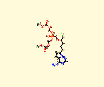 CC(C)OC(=O)OCOP(=O)(COC(CF)CCCc1ccc2c(N)ncnn12)OCOC(=O)OC(C)C